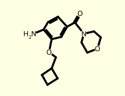 Nc1ccc(C(=O)N2CCOCC2)cc1OCC1CCC1